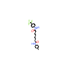 Cc1ccc(NC(=O)CCCCCCC(=O)Nc2ccc(C(F)(F)F)cc2)cc1